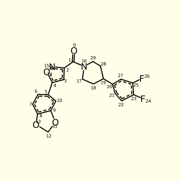 O=C(c1cc(-c2ccc3c(c2)OCO3)on1)N1CCC(c2ccc(F)c(F)c2)CC1